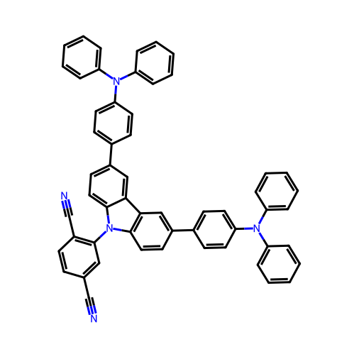 N#Cc1ccc(C#N)c(-n2c3ccc(-c4ccc(N(c5ccccc5)c5ccccc5)cc4)cc3c3cc(-c4ccc(N(c5ccccc5)c5ccccc5)cc4)ccc32)c1